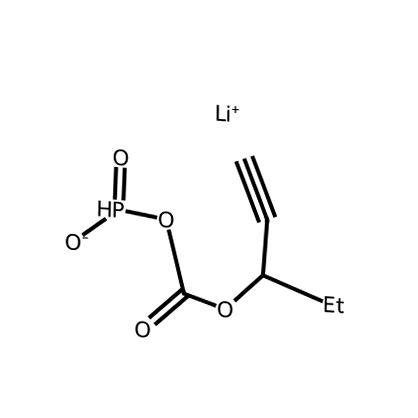 C#CC(CC)OC(=O)O[PH](=O)[O-].[Li+]